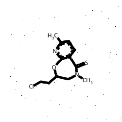 Cc1ccc2c(n1)OC(CCCl)CN(C)C2=S